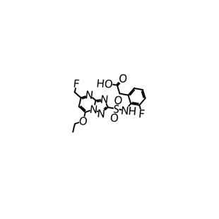 CCOc1cc(CF)nc2nc(S(=O)(=O)Nc3c(F)cccc3CC(=O)O)nn12